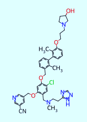 Cc1c(COc2cc(OCc3cncc(C#N)c3)c(CN(C)CCc3ncn[nH]3)cc2Cl)cccc1-c1cccc(OCCCN2CC[C@@H](O)C2)c1C